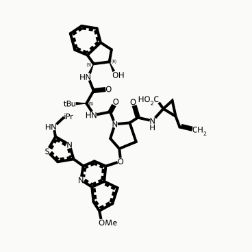 C=CC1CC1(NC(=O)C1CC(Oc2cc(-c3csc(NC(C)C)n3)nc3cc(OC)ccc23)CN1C(=O)N[C@H](C(=O)N[C@H]1c2ccccc2C[C@H]1O)C(C)(C)C)C(=O)O